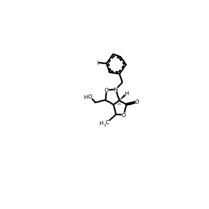 CC1OC(=O)[C@@H]2C1C(CO)ON2Cc1cccc(I)c1